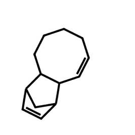 C1=CC2C3C=CC(C3)C2CCCC1